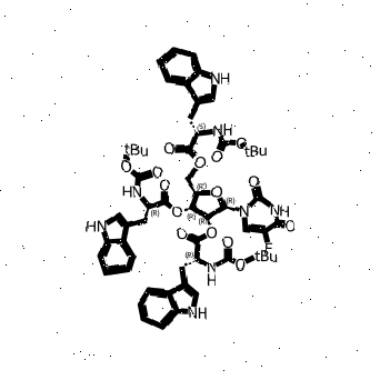 CC(C)(C)OC(=O)N[C@@H](Cc1c[nH]c2ccccc12)C(=O)OC[C@H]1O[C@@H](n2cc(F)c(=O)[nH]c2=O)[C@H](OC(=O)[C@@H](Cc2c[nH]c3ccccc23)NC(=O)OC(C)(C)C)[C@@H]1OC(=O)[C@@H](Cc1c[nH]c2ccccc12)NC(=O)OC(C)(C)C